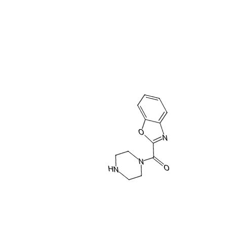 O=C(c1nc2ccccc2o1)N1CCNCC1